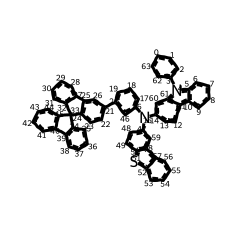 c1ccc(-n2c3ccccc3c3ccc(N(c4cccc(-c5ccc6c(c5)-c5ccccc5C65c6ccccc6-c6ccccc65)c4)c4ccc5sc6ccccc6c5c4)cc32)cc1